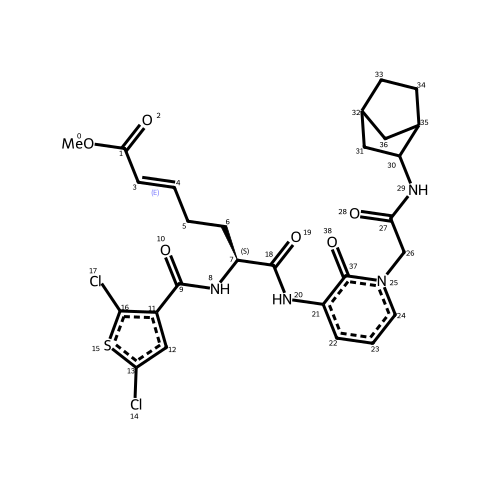 COC(=O)/C=C/CC[C@H](NC(=O)c1cc(Cl)sc1Cl)C(=O)Nc1cccn(CC(=O)NC2CC3CCC2C3)c1=O